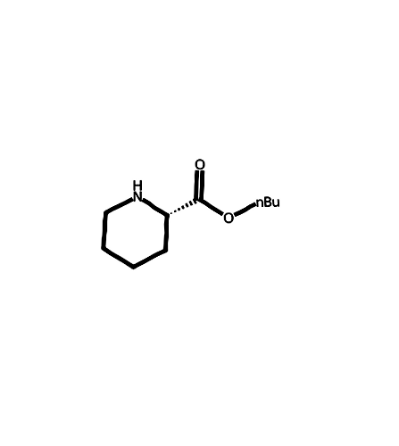 CCCCOC(=O)[C@@H]1CCCCN1